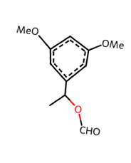 COc1cc(OC)cc(C(C)OC=O)c1